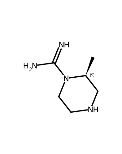 C[C@H]1CNCCN1C(=N)N